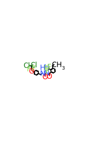 CCc1cccc(C(=O)NC(=O)NCc2ccc(OC(F)(F)C(Cl)Cl)cc2)c1C(F)(F)F